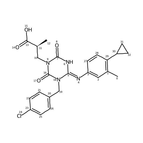 Cc1cc(/N=c2\[nH]c(=O)n(C[C@H](C)C(=O)O)c(=O)n2Cc2ccc(Cl)cc2)ccc1C1CC1